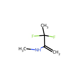 C=C(NC)C(C)(F)F